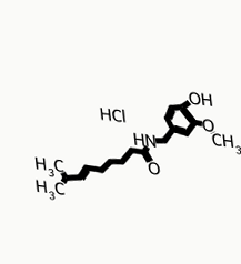 COc1cc(CNC(=O)CCCC/C=C/C(C)C)ccc1O.Cl